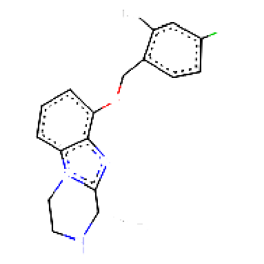 C[C@@H]1NCCn2c1nc1c(OCc3ccc(Cl)cc3C#N)cccc12